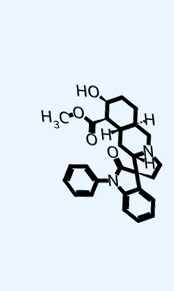 COC(=O)[C@@H]1[C@H]2C[C@@H]3N(CC[C@@]34C(=O)N(c3ccccc3)c3ccccc34)C[C@@H]2CC[C@@H]1O